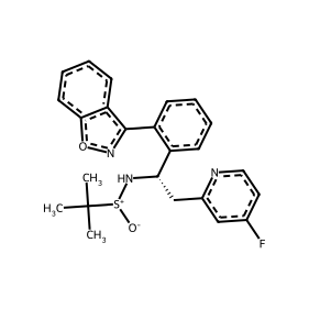 CC(C)(C)[S+]([O-])N[C@@H](Cc1cc(F)ccn1)c1ccccc1-c1noc2ccccc12